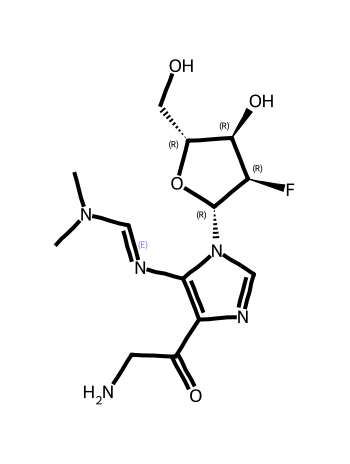 CN(C)/C=N/c1c(C(=O)CN)ncn1[C@@H]1O[C@H](CO)[C@@H](O)[C@H]1F